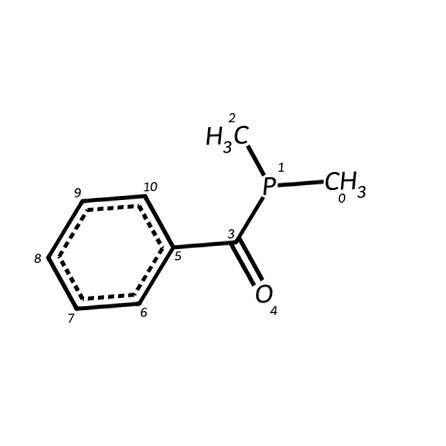 CP(C)C(=O)c1ccccc1